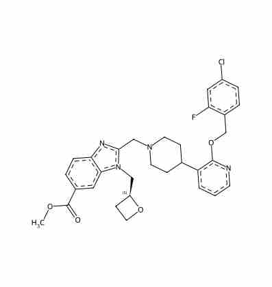 COC(=O)c1ccc2nc(CN3CCC(c4cccnc4OCc4ccc(Cl)cc4F)CC3)n(C[C@@H]3CCO3)c2c1